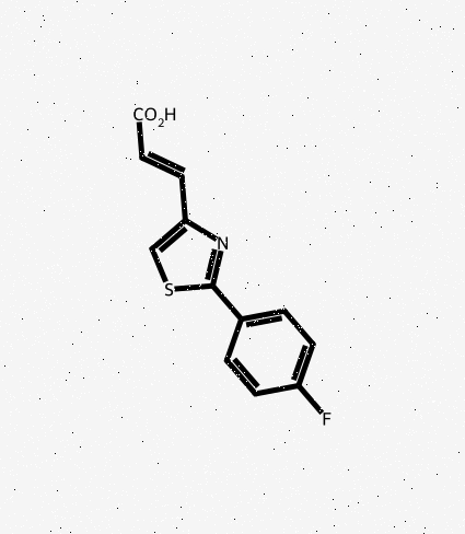 O=C(O)/C=C/c1csc(-c2ccc(F)cc2)n1